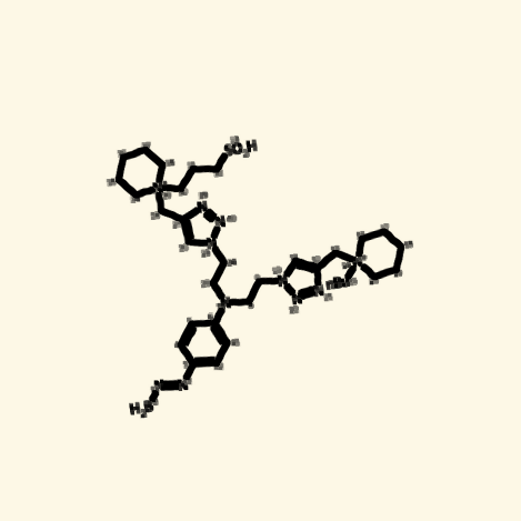 BN=Nc1ccc(N(CCn2cc(C[N+]3(CCCC)CCCCC3)nn2)CCn2cc(C[N+]3(CCCS(=O)(=O)O)CCCCC3)nn2)cc1